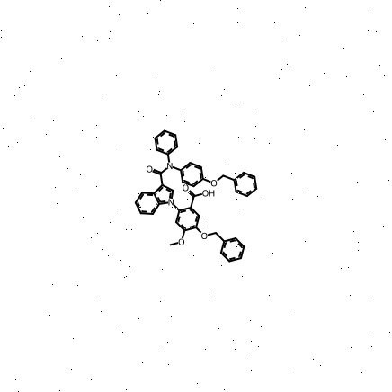 COc1cc(-n2cc(C(=O)N(c3ccccc3)c3ccc(OCc4ccccc4)cc3)c3ccccc32)c(C(=O)O)cc1OCc1ccccc1